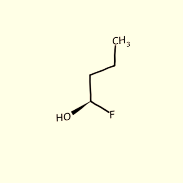 CCC[C@H](O)F